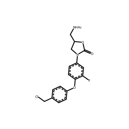 CC(=O)NCC1CN(c2ccc(Oc3ccc(CCl)cc3)c(F)c2)C(=O)O1